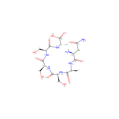 C[C@H](NC(=O)[C@H](CO)NC(=O)[C@H](CO)NC(=O)[C@H](CO)NC(=O)[C@H](C)NC(=O)[C@@H](N)CC(N)=O)C(=O)O